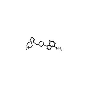 CN1CCC2(CCC=C2CC2CCC(n3ccc4c(N)ncnc43)C2)CC1